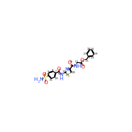 NS(=O)(=O)c1ccc(C(=O)Nc2nc(C(=O)NCC(=O)OCc3ccccc3)cs2)cc1